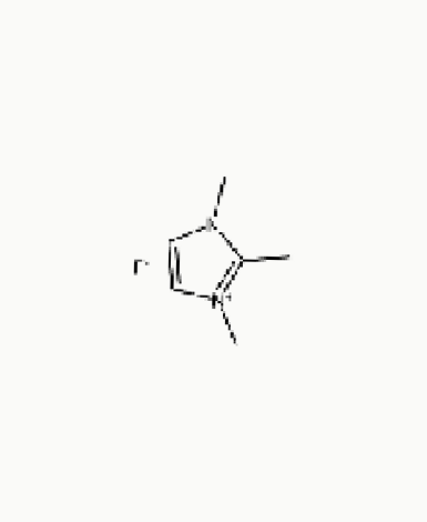 Cc1n(C)cc[n+]1C.[F-]